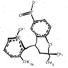 Cc1ccc[n+]([O-])c1C1CC(C)(C)Oc2ccc([N+](=O)[O-])cc21